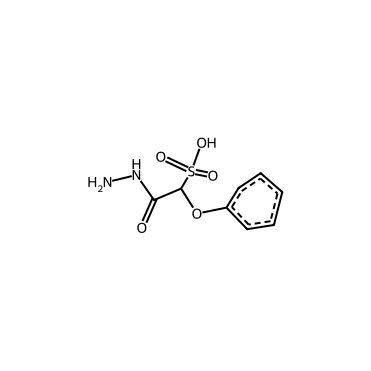 NNC(=O)C(Oc1ccccc1)S(=O)(=O)O